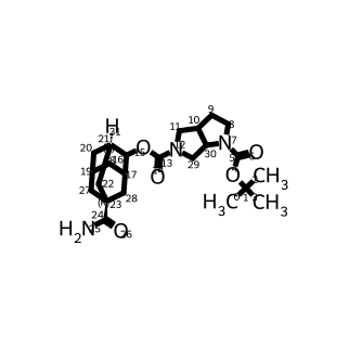 CC(C)(C)OC(=O)N1CCC2CN(C(=O)OC3C4CC5C[C@@H]3C[C@@](C(N)=O)(C5)C4)CC21